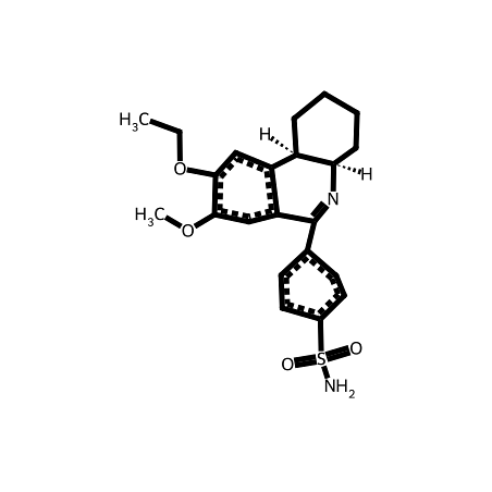 CCOc1cc2c(cc1OC)C(c1ccc(S(N)(=O)=O)cc1)=N[C@@H]1CCCC[C@H]21